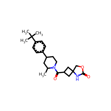 CC1CC(c2ccc(C(C)(C)C)cc2)CCN1C(=O)C1CC2(COC(=O)N2)C1